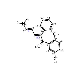 CN(C)/N=C/C=C1/C(=O)c2cc(Cl)ccc2Oc2ccccc21